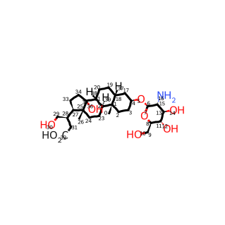 C[C@]12CC[C@H](O[C@@H]3O[C@H](CO)[C@@H](O)[C@H](O)[C@H]3N)C[C@H]1CC[C@@H]1[C@@H]2CC[C@]2(C)[C@@H]([C@H](CO)CC(=O)O)CC[C@]12O